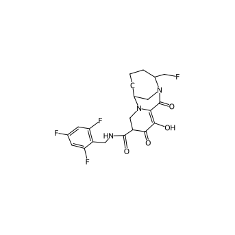 O=C(NCc1c(F)cc(F)cc1F)C1CN2C(=C(O)C1=O)C(=O)N1CC2CCCC1CF